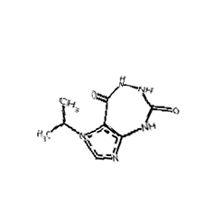 CC(C)n1cnc2c1C(=O)NNC(=O)N2